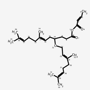 CC=CC(=O)OC(=O)CCC(C/C=C(\C)CCC=C(C)C)OC/C=C(\C)CCC=C(C)C